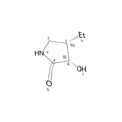 CC[C@H]1CNC(=O)[C@H]1O